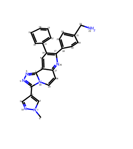 Cn1cc(-c2nnc3c4cc(-c5ccccc5)c(-c5ccc(CN)cc5)nc4ccn23)cn1